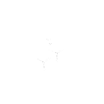 O=[N+]([O-])[O-].O=[N+]([O-])[O-].[Mn].[Ni+2]